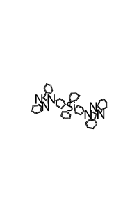 c1ccc([Si](c2ccccc2)(c2ccc(-n3c4ccccc4c4nc5ccccc5nc43)cc2)c2ccc(-n3c4ccccc4c4nc5ccccc5nc43)cc2)cc1